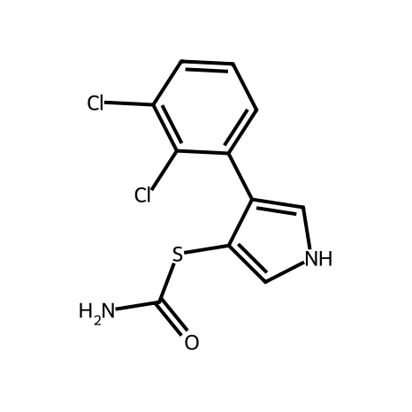 NC(=O)Sc1c[nH]cc1-c1cccc(Cl)c1Cl